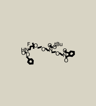 CC(C)(C)OC(=O)N(CCOCCOC(C)(C)C(F)CNC(=O)OCc1ccccc1)CCOCCN1C(=O)c2ccccc2C1=O